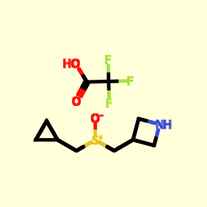 O=C(O)C(F)(F)F.[O-][S+](CC1CC1)CC1CNC1